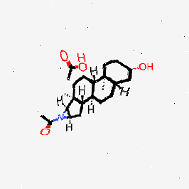 CC(=O)N1[C@@H]2C[C@H]3[C@@H]4CC[C@H]5C[C@@H](O)CC[C@]5(C)[C@H]4CC[C@]3(C)[C@@H]21.CC(=O)O